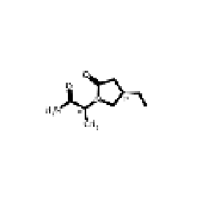 C[C@@H](C(N)=O)N1C[C@H](CI)CC1=O